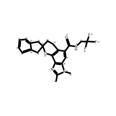 Cc1nc2c3c(c(C(=O)NCC(F)(F)F)cc2n1C)CCC1(Cc2ccccc2C1)O3